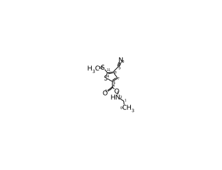 CCNOC(=O)c1cc(C#N)c(SC)s1